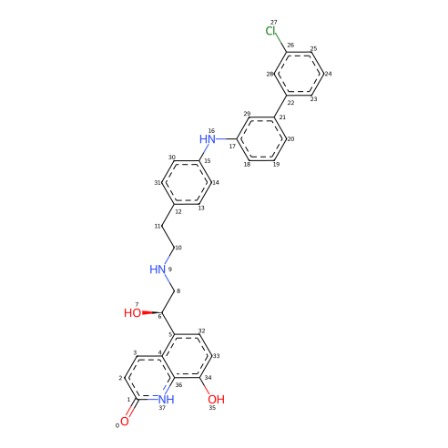 O=c1ccc2c([C@@H](O)CNCCc3ccc(Nc4cccc(-c5cccc(Cl)c5)c4)cc3)ccc(O)c2[nH]1